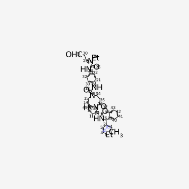 C/C=C(\C=C/CC)C(NC(=O)[C@@H]1CC[C@@H]2CCN(C(=O)Nc3ccc(NC(=O)N(CC)CCC=O)cc3)CCC(=O)N21)c1ccccc1